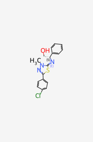 Cn1nc(-c2ccc(Cl)cc2)s/c1=N/[C@H](CO)c1ccccc1